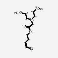 CC/C=C\CCOC(=O)CN(CCCCCCCCCCCC)CCCCCCCCCCCC